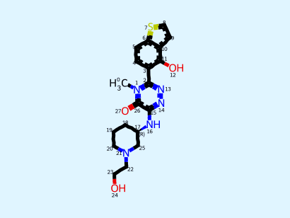 Cn1c(-c2ccc3sccc3c2O)nnc(N[C@@H]2CCCN(CCO)C2)c1=O